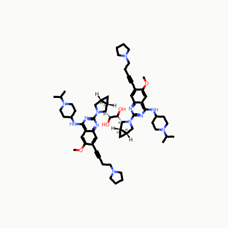 COc1cc2c(NC3CCN(C(C)C)CC3)nc(N3C[C@@H]4C[C@@H]4[C@@H]3C(O)C(O)[C@H]3[C@H]4C[C@H]4CN3c3nc(NC4CCN(C(C)C)CC4)c4cc(OC)c(C#CCCN5CCCC5)cc4n3)nc2cc1C#CCCN1CCCC1